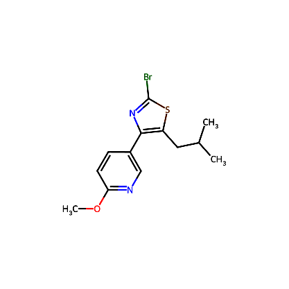 COc1ccc(-c2nc(Br)sc2CC(C)C)cn1